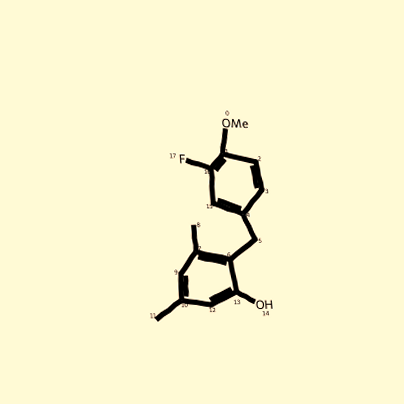 COc1ccc(Cc2c(C)cc(C)cc2O)cc1F